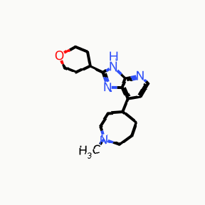 CN1CCCC(c2ccnc3[nH]c(C4CCOCC4)nc23)CC1